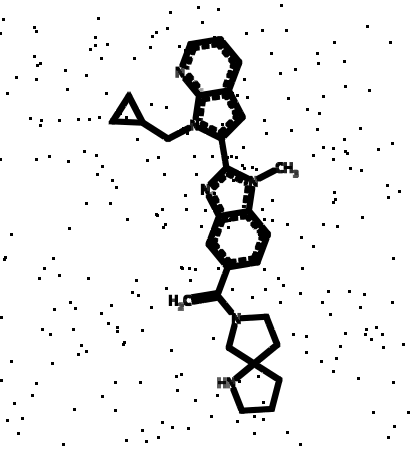 C=C(c1ccc2c(c1)nc(-c1cc3cccnc3n1CC1CC1)n2C)N1CCC2(CCCN2)C1